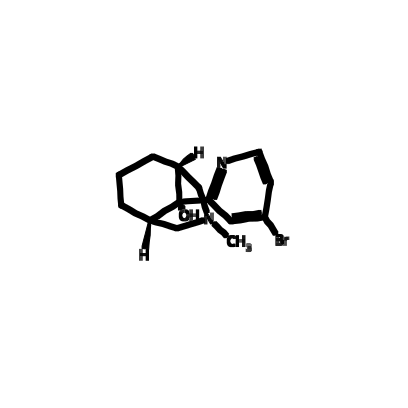 CN1C[C@H]2CCC[C@@H](C1)[C@@]2(O)c1cc(Br)ccn1